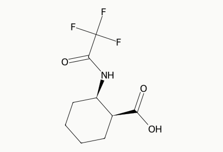 O=C(O)[C@H]1CCCC[C@H]1NC(=O)C(F)(F)F